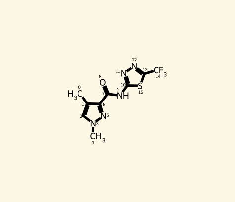 Cc1cn(C)nc1C(=O)Nc1nnc(C(F)(F)F)s1